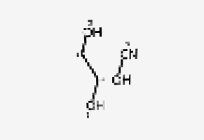 N#CO.OCCO